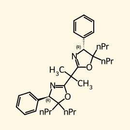 CCCC1(CCC)OC(C(C)(C)C2=N[C@H](c3ccccc3)C(CCC)(CCC)O2)=N[C@@H]1c1ccccc1